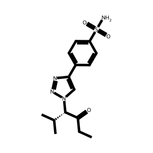 CCC(=O)[C@H](C(C)C)n1cc(-c2ccc(S(N)(=O)=O)cc2)nn1